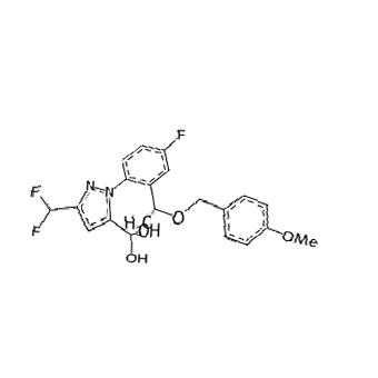 COc1ccc(CO[C@H](C)c2cc(F)ccc2-n2nc(C(F)F)cc2C(O)O)cc1